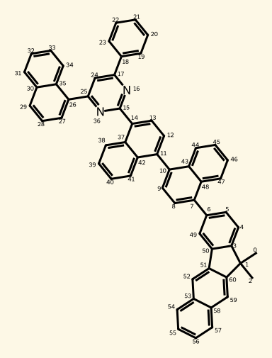 CC1(C)c2ccc(-c3ccc(-c4ccc(-c5nc(-c6ccccc6)cc(-c6cccc7ccccc67)n5)c5ccccc45)c4ccccc34)cc2-c2cc3ccccc3cc21